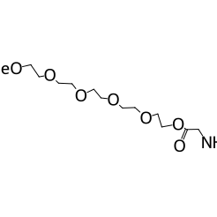 COCCOCCOCCOCCOCCOC(=O)CN